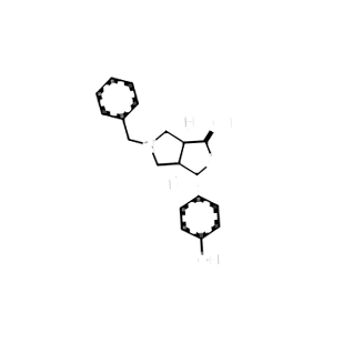 C=C1O[C@H](c2ccc(O)cc2)[C@H]2CN(Cc3ccccc3)C[C@@H]12